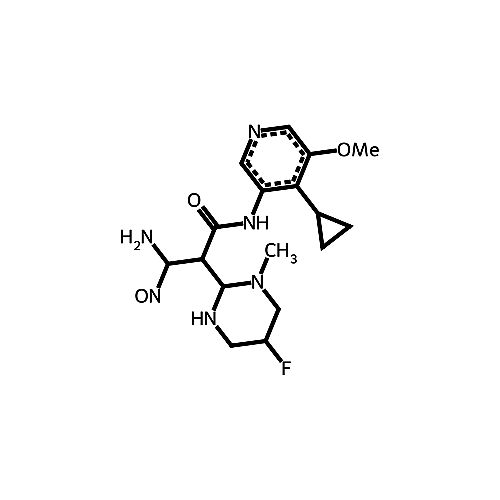 COc1cncc(NC(=O)C(C(N)N=O)C2NCC(F)CN2C)c1C1CC1